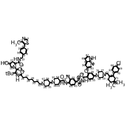 Cc1ncsc1-c1ccc(CNC(=O)[C@@H]2C[C@@H](O)CN2C(=O)[C@@H](NC(=O)CCCCCCCN2CCC(N3CCC(CNc4ccc(S(=O)(=O)NC(=O)c5ccc(N6CCN(CC7=C(c8ccc(Cl)cc8)CC(C)(C)CC7)CC6)cc5Oc5cnc6[nH]ccc6c5)cc4[N+](=O)[O-])CC3)CC2)C(C)(C)C)cc1